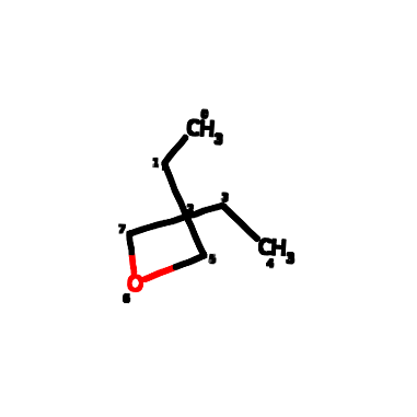 C[CH]C1(CC)COC1